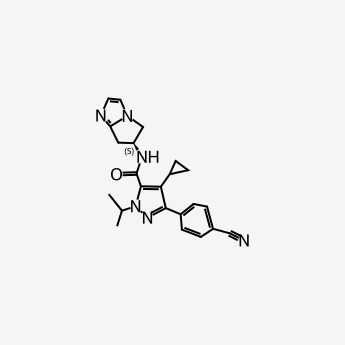 CC(C)n1nc(-c2ccc(C#N)cc2)c(C2CC2)c1C(=O)N[C@H]1Cc2nccn2C1